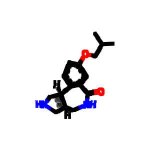 CC(C)COc1ccc2c(c1)C(=O)NC[C@@H]1CNC[C@@H]21